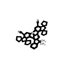 CC1(C)c2ccccc2-c2c1cc1c3c4c(c(C#N)cc3n3c5cc(C#N)c6c(c5c2c13)C1(CCCC1)CC61CCCC1)C1(CCCC1)CC41CCCC1